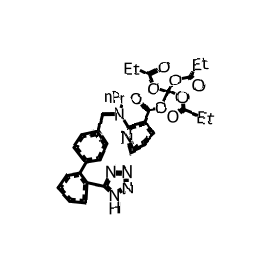 CCCN(Cc1ccc(-c2ccccc2-c2nnn[nH]2)cc1)c1ncccc1C(=O)OC(OC(=O)CC)(OC(=O)CC)OC(=O)CC